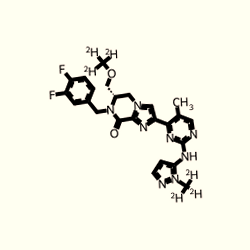 [2H]C([2H])([2H])OC[C@@H]1Cn2cc(-c3nc(Nc4ccnn4C([2H])([2H])[2H])ncc3C)nc2C(=O)N1Cc1ccc(F)c(F)c1